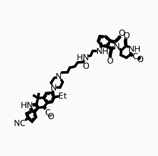 CCc1cc2c(cc1N1CCN(CCCCCC(=O)NCCNc3cccc4c(=C=O)n(C5CCC(=C=O)NC5=C=O)c(=C=O)c34)CC1)C(C)(C)c1[nH]c3cc(C#N)ccc3c1C2=C=O